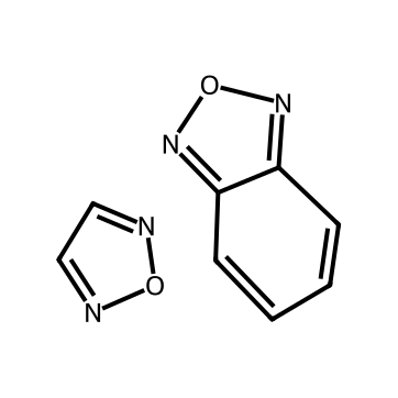 c1ccc2nonc2c1.c1cnon1